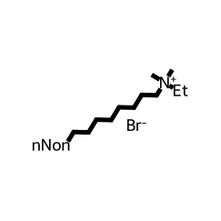 CCCCCCCCCCCCCCCCC[N+](C)(C)CC.[Br-]